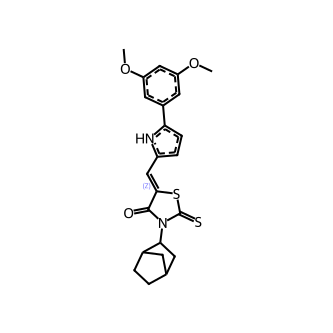 COc1cc(OC)cc(-c2ccc(/C=C3\SC(=S)N(C4CC5CCC4C5)C3=O)[nH]2)c1